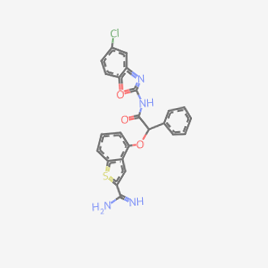 N=C(N)c1cc2c(OC(C(=O)Nc3nc4cc(Cl)ccc4o3)c3ccccc3)cccc2s1